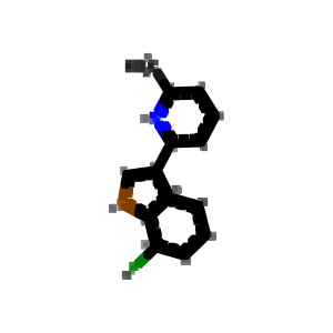 O=C(O)c1cccc(-c2csc3c(F)cccc23)n1